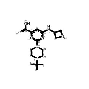 CC(C)(C)N1CCN(c2nc(NC3COC3)cc(C(=O)O)n2)CC1